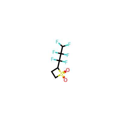 O=S1(=O)CCC1C(F)(F)C(F)(F)C(F)F